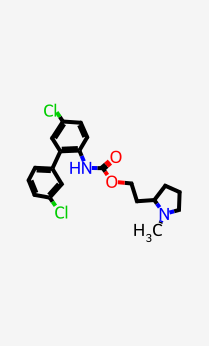 CN1CCCC1CCOC(=O)Nc1ccc(Cl)cc1-c1cccc(Cl)c1